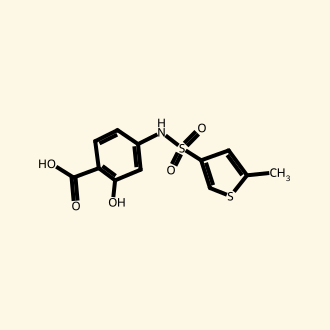 Cc1cc(S(=O)(=O)Nc2ccc(C(=O)O)c(O)c2)cs1